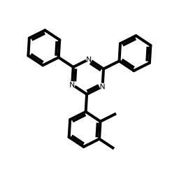 Cc1cccc(-c2nc(-c3ccccc3)nc(-c3ccccc3)n2)c1C